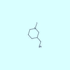 CC(C)CC1CCCN(I)C1